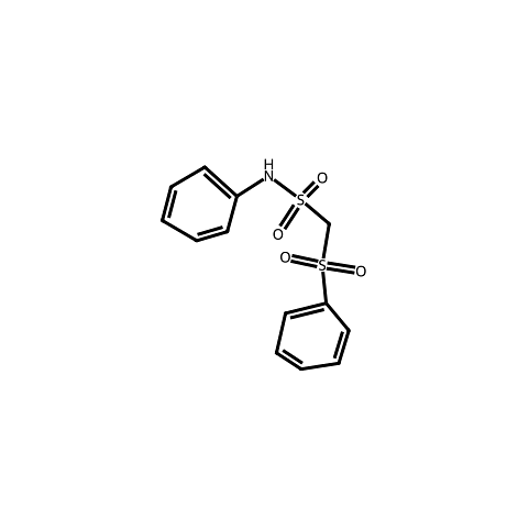 O=S(=O)(CS(=O)(=O)c1ccccc1)Nc1ccccc1